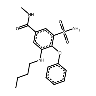 CCCCNc1cc(C(=O)NC)cc(S(N)(=O)=O)c1Oc1ccccc1